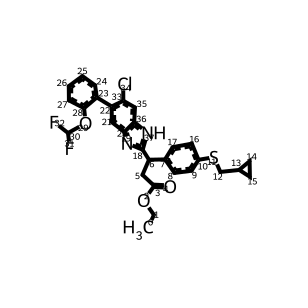 CCOC(=O)CC(c1ccc(SCC2CC2)cc1)c1nc2cc(-c3ccccc3OC(F)F)c(Cl)cc2[nH]1